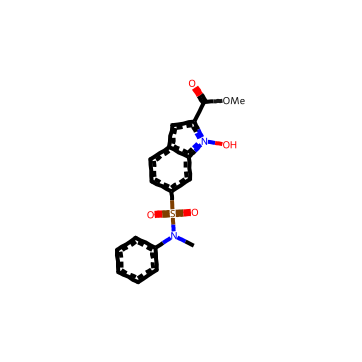 COC(=O)c1cc2ccc(S(=O)(=O)N(C)c3ccccc3)cc2n1O